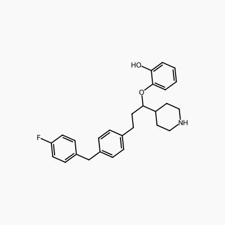 Oc1ccccc1OC(CCc1ccc(Cc2ccc(F)cc2)cc1)C1CCNCC1